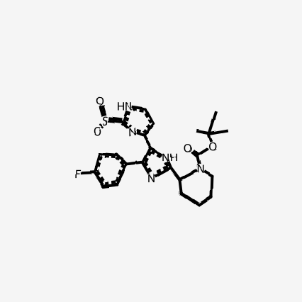 CC(C)(C)OC(=O)N1CCCCC1c1nc(-c2ccc(F)cc2)c(-c2cc[nH]c(=S(=O)=O)n2)[nH]1